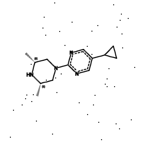 C[C@@H]1CN(c2ncc(C3CC3)cn2)C[C@H](C)N1